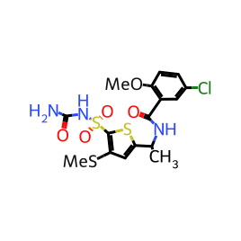 COc1ccc(Cl)cc1C(=O)NC(C)c1cc(SC)c(S(=O)(=O)NC(N)=O)s1